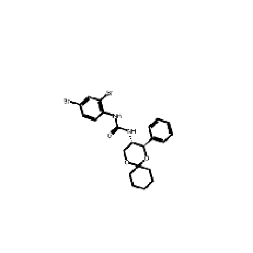 O=C(Nc1ccc(Br)cc1Br)N[C@H]1COC2(CCCCC2)O[C@@H]1c1ccccc1